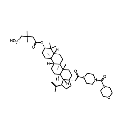 C=C(C)[C@@H]1CC[C@]2(CC(=O)N3CCN(C(=O)N4CCOCC4)CC3)CC[C@]3(C)[C@H](CC[C@@H]4[C@@]5(C)CC[C@H](OC(=O)CC(C)(C)CC(=O)O)C(C)(C)[C@@H]5CC[C@]43C)[C@@H]12